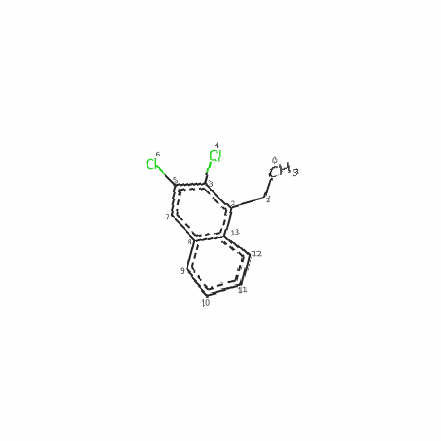 C[CH]c1c(Cl)c(Cl)cc2ccccc12